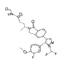 COc1ccc(-c2c(-c3ccc4c(c3)CN(C(C)CCC(=O)NC=O)C4=O)cnn2C(F)F)cc1F